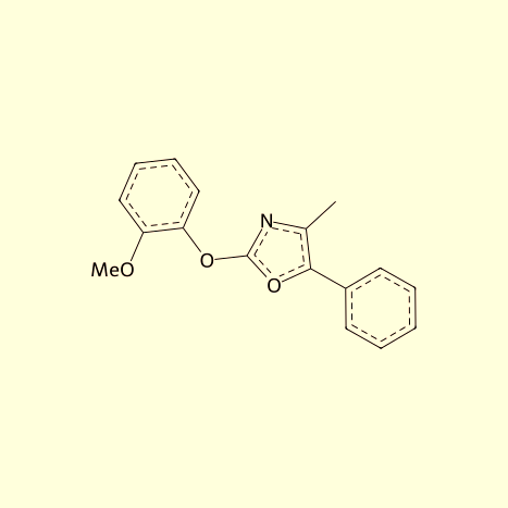 COc1ccccc1Oc1nc(C)c(-c2ccccc2)o1